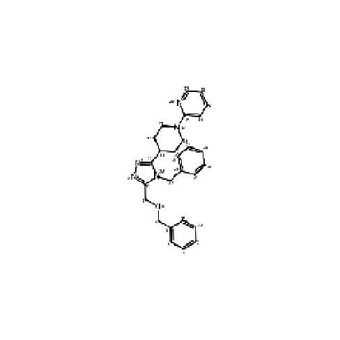 c1ccc(COCc2nnc(C3CCN(c4ccccn4)CC3)n2Cc2ccccc2)cc1